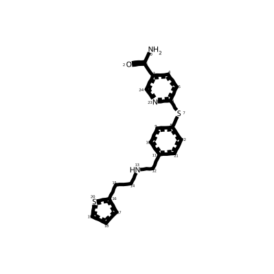 NC(=O)c1ccc(Sc2ccc(CNCCc3cccs3)cc2)nc1